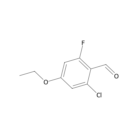 CCOc1cc(F)c(C=O)c(Cl)c1